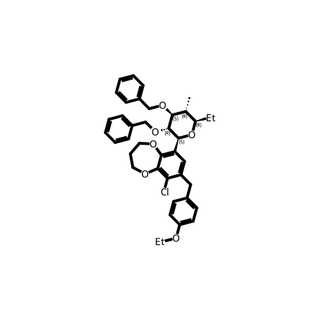 CCOc1ccc(Cc2cc([C@@H]3O[C@H](CC)[C@@H](C)[C@H](OCc4ccccc4)[C@H]3OCc3ccccc3)c3c(c2Cl)OCCCO3)cc1